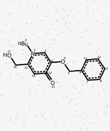 CCCCn1cc(OCc2ccccc2)c(=O)cc1CO